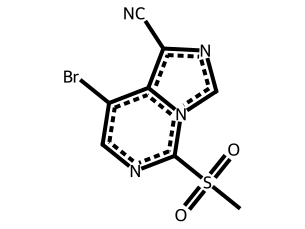 CS(=O)(=O)c1ncc(Br)c2c(C#N)ncn12